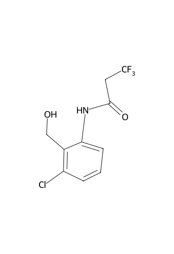 O=C(CC(F)(F)F)Nc1cccc(Cl)c1CO